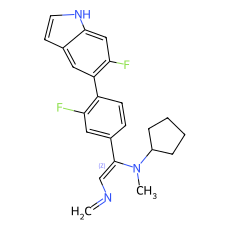 C=N/C=C(/c1ccc(-c2cc3cc[nH]c3cc2F)c(F)c1)N(C)C1CCCC1